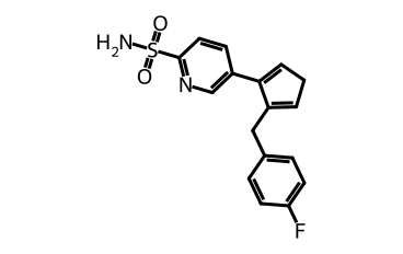 NS(=O)(=O)c1ccc(C2=CCC=C2Cc2ccc(F)cc2)cn1